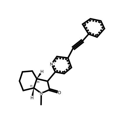 CN1C(=O)C(c2ccc(C#Cc3ccccc3)cn2)[C@H]2CCCC[C@H]21